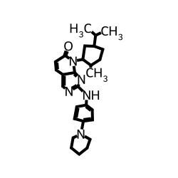 CC(C)C1CCC(C)C(n2c(=O)ccc3cnc(Nc4ccc(N5CCCCC5)cc4)nc32)C1